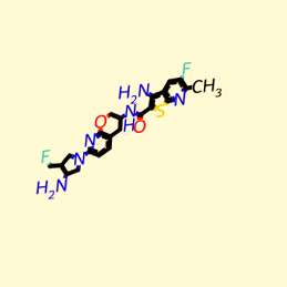 Cc1nc2sc(C(=O)NC3COc4nc(N5CC(N)C(CF)C5)ccc4C3)c(N)c2cc1F